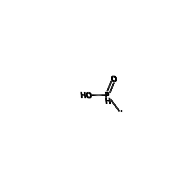 [CH2][PH](=O)O